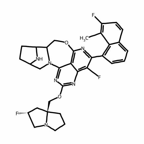 Cc1c(F)ccc2cccc(-c3nc4c5c(nc(OC[C@@]67CCCN6C[C@H](F)C7)nc5c3F)N3CC5CCC(N5)C3CO4)c12